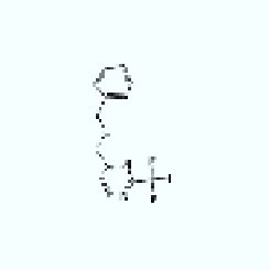 FC(F)(F)c1nccc(COCc2ccccc2)n1